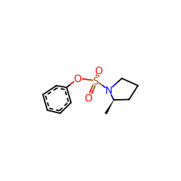 C[C@@H]1CCCN1S(=O)(=O)Oc1ccccc1